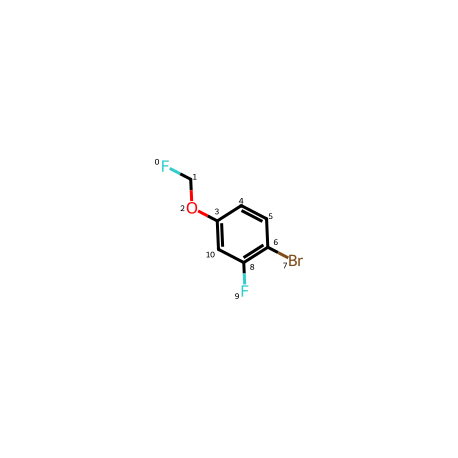 FCOc1ccc(Br)c(F)c1